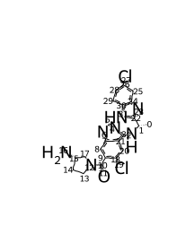 C[C@H](Nc1ncnc2cc(C(=O)N3CC[C@H](N)C3)c(Cl)cc12)c1nc2cc(Cl)ccc2[nH]1